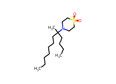 CCCCCCCC(C)(CCCC)N1CCS(=O)(=O)CC1